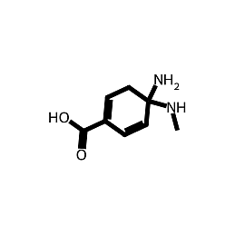 CNC1(N)C=CC(C(=O)O)=CC1